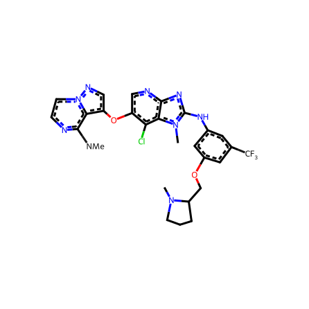 CNc1nccn2ncc(Oc3cnc4nc(Nc5cc(OCC6CCCN6C)cc(C(F)(F)F)c5)n(C)c4c3Cl)c12